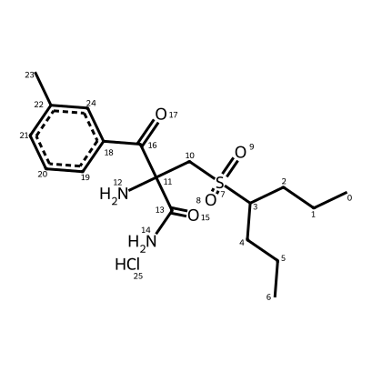 CCCC(CCC)S(=O)(=O)CC(N)(C(N)=O)C(=O)c1cccc(C)c1.Cl